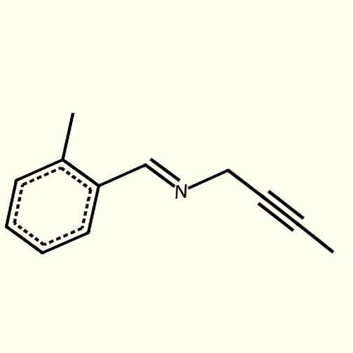 CC#CC/N=C/c1ccccc1C